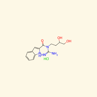 Cl.N=C(N)N(CCC(O)CO)C(=O)c1cc2ccccc2[nH]1